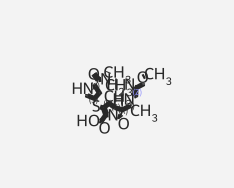 COC/C(N)=C/N[C@H](C)[C@H]1C(=O)N2C(C(=O)O)=C(S[C@@H]3CN[C@H](C(=O)N(C)C)C3)[C@H](C)[C@H]12